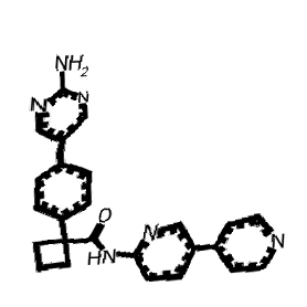 Nc1ncc(-c2ccc(C3(C(=O)Nc4ccc(-c5ccncc5)cn4)CCC3)cc2)cn1